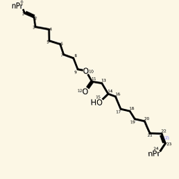 CCCC=CCCCCCCCOC(=O)CC(O)CCCCCC/C=C\CCC